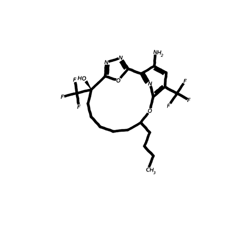 CCCCC1CCCCC[C@](O)(C(F)(F)F)c2nnc(o2)-c2nc(c(C(F)(F)F)cc2N)O1